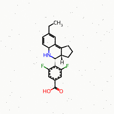 CCC1=CC2=C3CCC[C@@H]3[C@H](c3c(F)cc(C(=O)O)cc3F)NC2C=C1